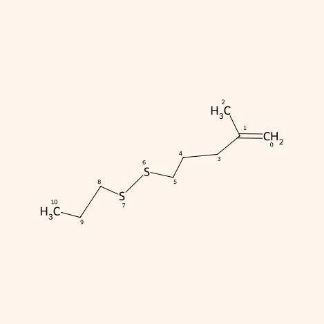 C=C(C)CCCSSCCC